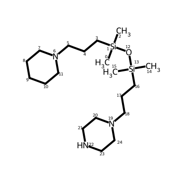 C[Si](C)(CCCN1CCCCC1)O[Si](C)(C)CCCN1CCNCC1